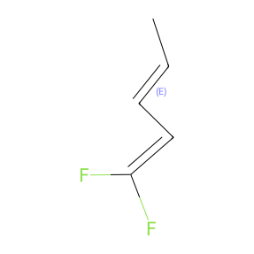 C/C=C/C=C(F)F